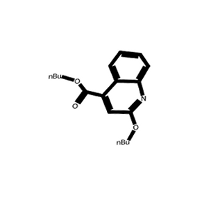 CCCCOC(=O)c1cc(OCCCC)nc2ccccc12